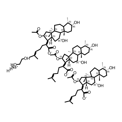 CC(=O)O[C@H]1C[C@@]2(C)[C@H](C[C@@H](O)C3[C@@]4(C)CC[C@@H](O)[C@@H](C)C4CC[C@@]32C)C1=C(CCC=C(C)C)C(=O)[O-].CC(=O)O[C@H]1C[C@@]2(C)[C@H](C[C@@H](O)C3[C@@]4(C)CC[C@@H](O)[C@@H](C)C4CC[C@@]32C)C1=C(CCC=C(C)C)C(=O)[O-].CC(=O)O[C@H]1C[C@@]2(C)[C@H](C[C@@H](O)C3[C@@]4(C)CC[C@@H](O)[C@@H](C)C4CC[C@@]32C)C1=C(CCC=C(C)C)C(=O)[O-].OCCO.[H+].[H+].[Na+]